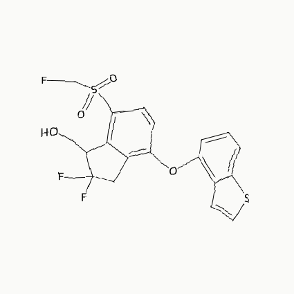 O=S(=O)(CF)c1ccc(Oc2cccc3sccc23)c2c1C(O)C(F)(F)C2